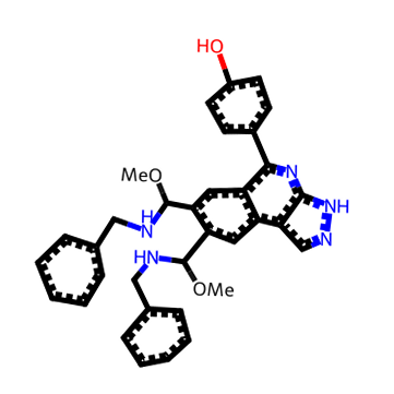 COC(NCc1ccccc1)c1cc2c(-c3ccc(O)cc3)nc3[nH]ncc3c2cc1C(NCc1ccccc1)OC